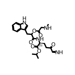 CNCC(=O)OC(Cc1c[nH]c2ccccc12)C(=O)N[C@@H](CCC(=O)C=N)C(=O)OC(C)C